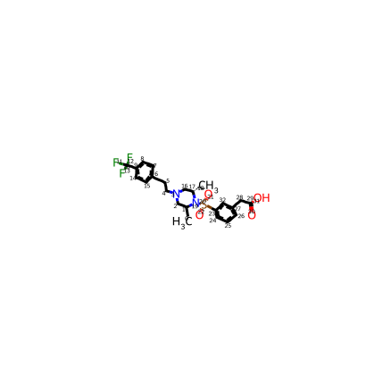 CC1CN(CCc2ccc(C(F)(F)F)cc2)C[C@H](C)N1S(=O)(=O)c1cccc(CC(=O)O)c1